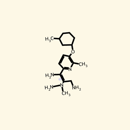 Cc1nc(/C(N)=C(\CN)N(C)N)ccc1OC1CCCC(C)C1